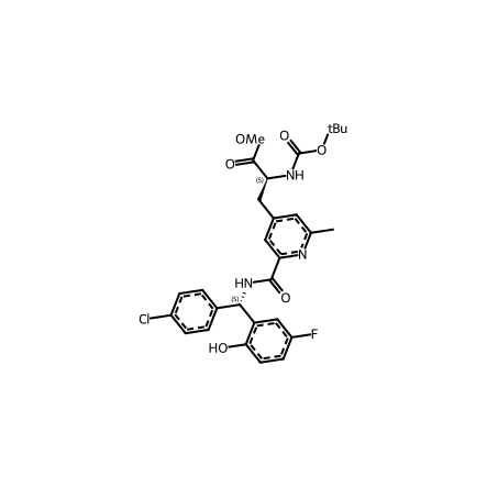 COC(=O)[C@H](Cc1cc(C)nc(C(=O)N[C@@H](c2ccc(Cl)cc2)c2cc(F)ccc2O)c1)NC(=O)OC(C)(C)C